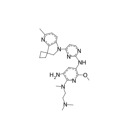 COc1nc(N(C)CCN(C)C)c(N)cc1Nc1nccc(N2CC3(CCC3)c3nc(C)ccc32)n1